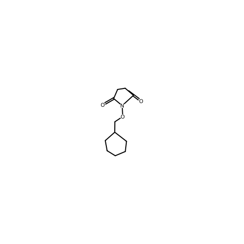 O=C1CCC(=O)N1OCC1CCCCC1